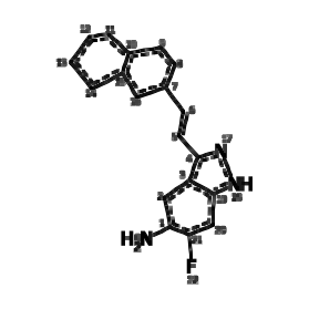 Nc1cc2c(C=Cc3ccc4ccccc4c3)n[nH]c2cc1F